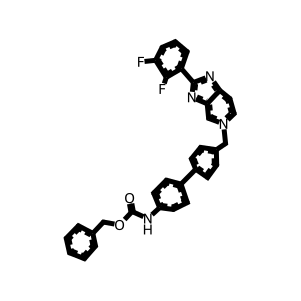 O=C(Nc1ccc(-c2ccc(Cn3ccc4nc(-c5cccc(F)c5F)nc-4c3)cc2)cc1)OCc1ccccc1